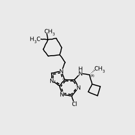 C[C@@H](Nc1nc(Cl)nc2ncn(CC3CCC(C)(C)CC3)c12)C1CCC1